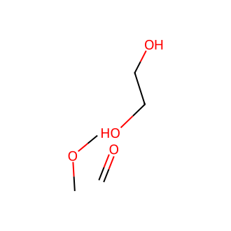 C=O.COC.OCCO